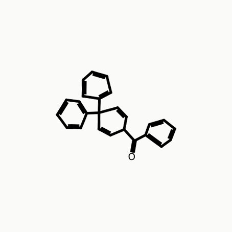 O=C(c1ccccc1)C1C=CC(c2ccccc2)(c2ccccc2)C=C1